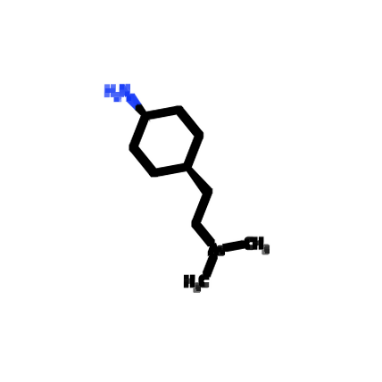 C[As](C)CC[C@H]1CC[C@@H](N)CC1